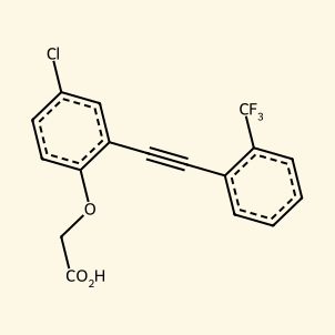 O=C(O)COc1ccc(Cl)cc1C#Cc1ccccc1C(F)(F)F